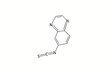 S=C=Nc1ccc2nccnc2c1